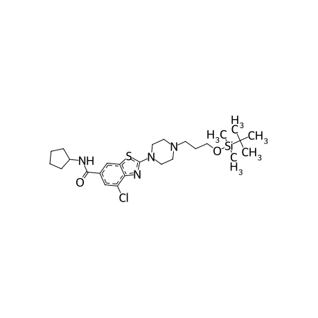 CC(C)(C)[Si](C)(C)OCCCN1CCN(c2nc3c(Cl)cc(C(=O)NC4CCCC4)cc3s2)CC1